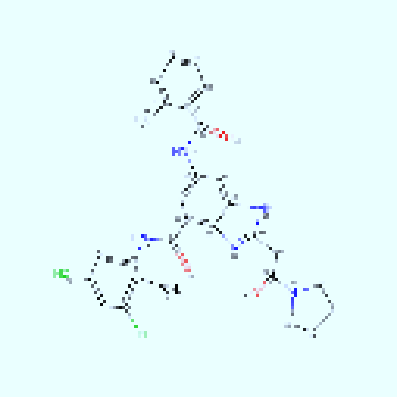 Cc1c(Cl)cccc1NC(=O)c1cc(NC(=O)c2ccccc2C(F)(F)F)cc2[nH]c(CC(=O)N3CCCC3)nc12.Cl